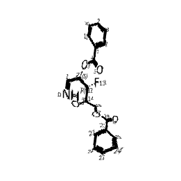 N=C[C@H](OC(=O)c1ccccc1)[C@H](F)[C@H](O)COC(=O)c1ccccc1